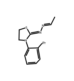 C/C=N/N=C1\SCCN1c1ccccc1C(C)C